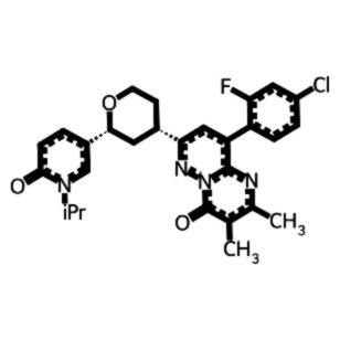 Cc1nc2c(-c3ccc(Cl)cc3F)cc([C@H]3CCO[C@@H](c4ccc(=O)n(C(C)C)c4)C3)nn2c(=O)c1C